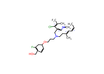 C=N/C=C(CN(CCCOC1C=CC(CO)=C(F)C1)CC/C(C)=C/C=C\C)\C(Cl)=C(/C)C(F)(F)F